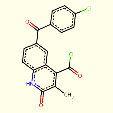 Cc1c(C(=O)Cl)c2cc(C(=O)c3ccc(Cl)cc3)ccc2[nH]c1=O